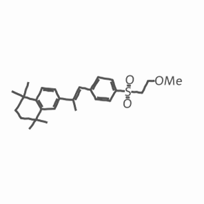 COCCS(=O)(=O)c1ccc(C=C(C)c2ccc3c(c2)C(C)(C)CCC3(C)C)cc1